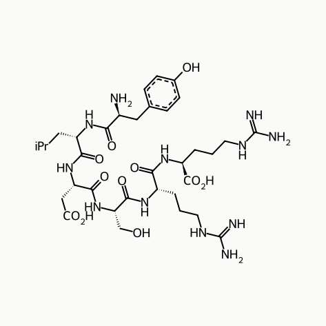 CC(C)C[C@H](NC(=O)[C@@H](N)Cc1ccc(O)cc1)C(=O)N[C@@H](CC(=O)O)C(=O)N[C@@H](CO)C(=O)N[C@@H](CCCNC(=N)N)C(=O)N[C@@H](CCCNC(=N)N)C(=O)O